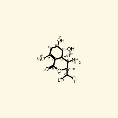 C[C@]1(C(Cl)Cl)OC(=O)C2=C(O)C[C@@H](O)[C@H](O)[C@H]2[C@H]1N